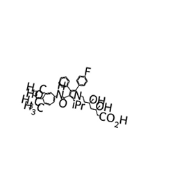 CC1=CC=C(NC(=O)c2c(-c3ccccc3)c(-c3ccc(F)cc3)n(CC[C@@H](O)C[C@@H](O)CC(=O)O)c2C(C)C)C=C(C)C1(C)O